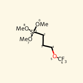 CO[Si](CCCOC(F)(F)F)(OC)OC